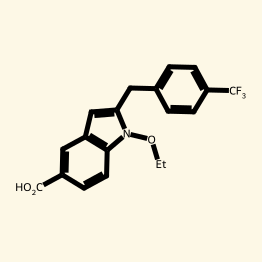 CCOn1c(Cc2ccc(C(F)(F)F)cc2)cc2cc(C(=O)O)ccc21